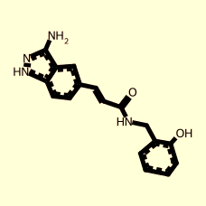 Nc1n[nH]c2ccc(/C=C/C(=O)NCc3ccccc3O)cc12